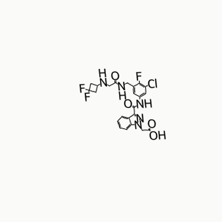 O=C(O)Cn1nc(C(=O)Nc2cc(Cl)c(F)c(CNC(=O)CNC3CC(F)(F)C3)c2)c2ccccc21